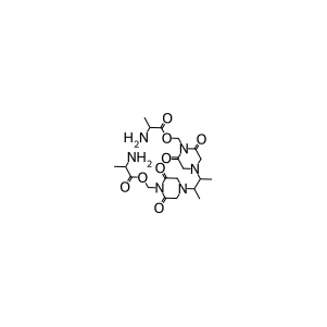 CC(N)C(=O)OCN1C(=O)CN(C(C)C(C)N2CC(=O)N(COC(=O)C(C)N)C(=O)C2)CC1=O